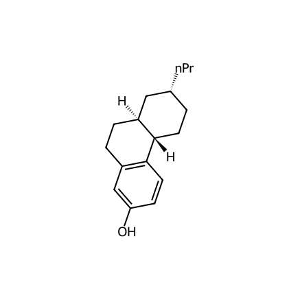 CCC[C@@H]1CC[C@@H]2c3ccc(O)cc3CC[C@H]2C1